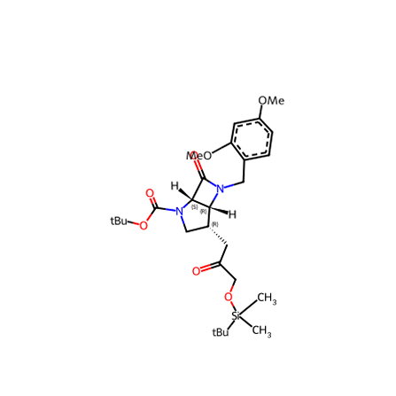 COc1ccc(CN2C(=O)[C@@H]3[C@H]2[C@H](CC(=O)CO[Si](C)(C)C(C)(C)C)CN3C(=O)OC(C)(C)C)c(OC)c1